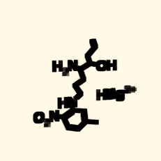 Br.C=CCC(O)C(N)CCCNc1cc(C)ccc1[N+](=O)[O-].[Mg+2]